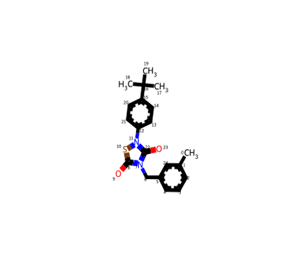 Cc1cccc(Cn2c(=O)sn(-c3ccc(C(C)(C)C)cc3)c2=O)c1